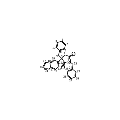 O=C1CC(Cc2ccccc2)(c2ccc3sccc3c2)C(=O)N1Cc1ccccc1